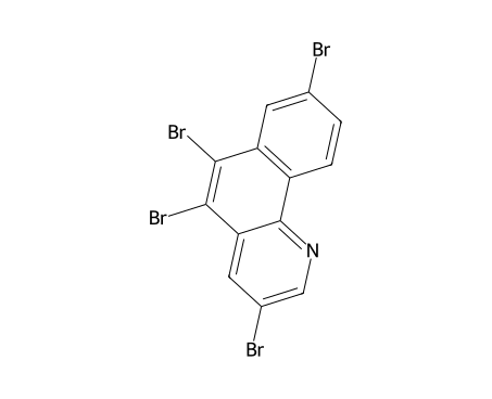 Brc1ccc2c(c1)c(Br)c(Br)c1cc(Br)cnc12